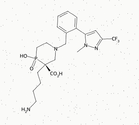 Cn1nc(C(F)(F)F)cc1-c1ccccc1CN1CCP(=O)(O)[C@](CCCCN)(C(=O)O)C1